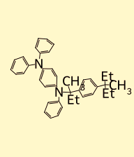 CCC(C)(CC)c1ccc(C(C)(CC)N(c2ccccc2)c2ccc(N(c3ccccc3)c3ccccc3)cc2)cc1